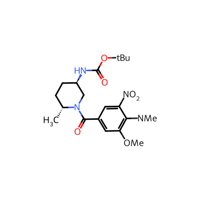 CNc1c(OC)cc(C(=O)N2C[C@H](NC(=O)OC(C)(C)C)CC[C@H]2C)cc1[N+](=O)[O-]